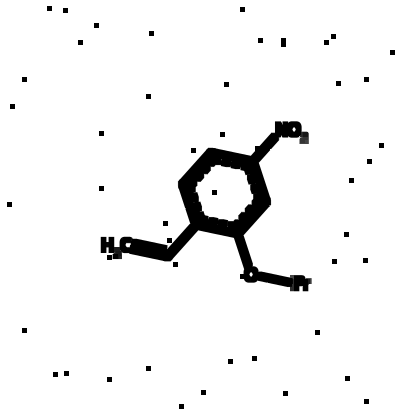 C=Cc1ccc([N+](=O)[O-])cc1OC(C)C